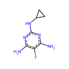 Nc1nc(NC2CC2)nc(N)c1F